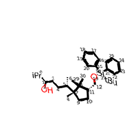 CC(C)[C@H](O)CC[C@H](C)[C@@]1(C)CC[C@@H](CO[Si](c2ccccc2)(c2ccccc2)C(C)(C)C)C1(C)C